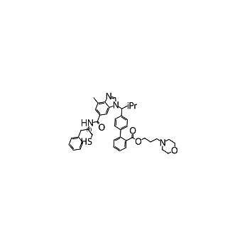 Cc1cc(C(=O)N[C@@H](CS)Cc2ccccc2)cc2c1ncn2C(c1ccc(-c2ccccc2C(=O)OCCCN2CCOCC2)cc1)C(C)C